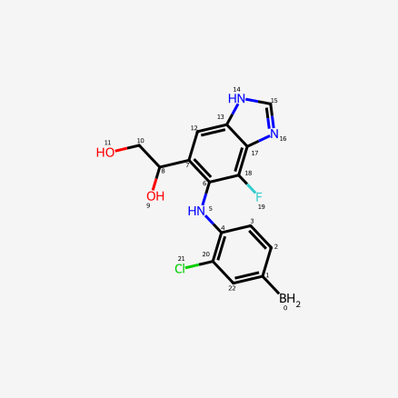 Bc1ccc(Nc2c(C(O)CO)cc3[nH]cnc3c2F)c(Cl)c1